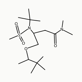 CC(OCC(CC(=O)N(C)C)N(C(C)(C)C)S(C)(=O)=O)C(C)(C)C